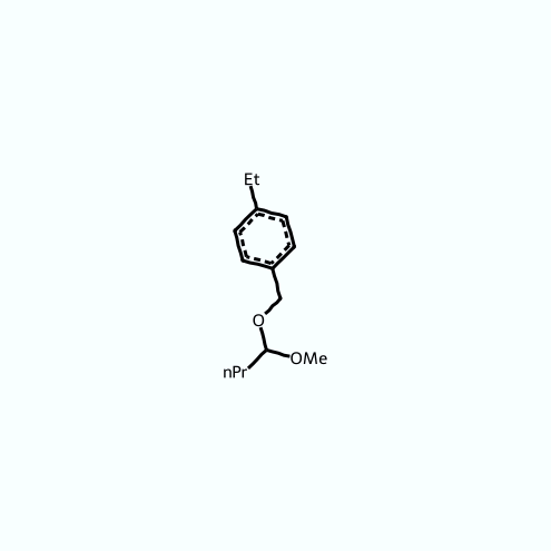 CCCC(OC)OCc1ccc(CC)cc1